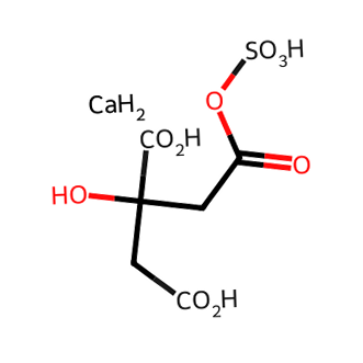 O=C(O)CC(O)(CC(=O)OS(=O)(=O)O)C(=O)O.[CaH2]